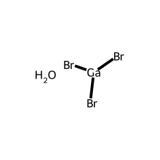 O.[Br][Ga]([Br])[Br]